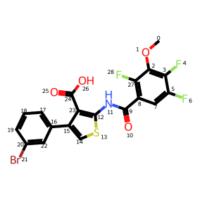 COc1c(F)c(F)cc(C(=O)Nc2scc(-c3cccc(Br)c3)c2C(=O)O)c1F